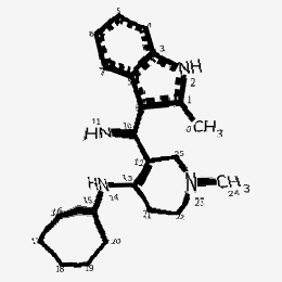 Cc1[nH]c2ccccc2c1C(=N)C1=C(NC2CCCCC2)CCN(C)C1